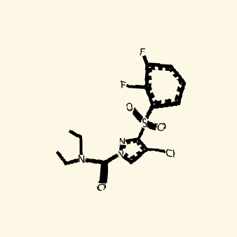 CCN(CC)C(=O)n1cc(Cl)c(S(=O)(=O)c2cccc(F)c2F)n1